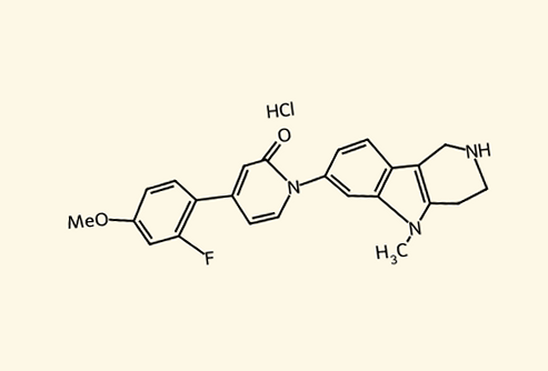 COc1ccc(-c2ccn(-c3ccc4c5c(n(C)c4c3)CCNC5)c(=O)c2)c(F)c1.Cl